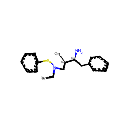 CC(C)CN(C[C@@H](N=O)[C@@H](N)Cc1ccccc1)Sc1ccccc1